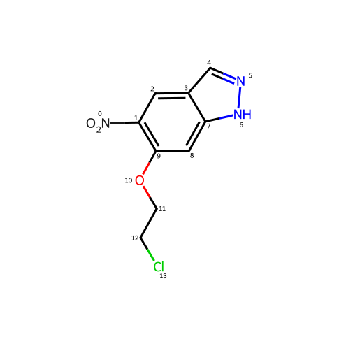 O=[N+]([O-])c1cc2cn[nH]c2cc1OCCCl